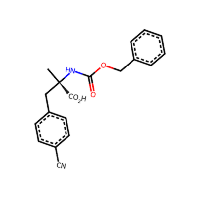 C[C@@](Cc1ccc(C#N)cc1)(NC(=O)OCc1ccccc1)C(=O)O